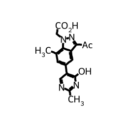 CC(=O)c1nn(CC(=O)O)c2c(C)cc(-c3cnc(C)nc3O)cc12